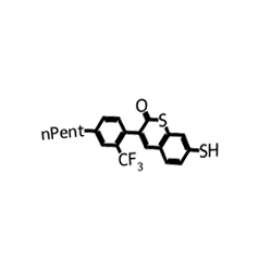 CCCCCc1ccc(-c2cc3ccc(S)cc3sc2=O)c(C(F)(F)F)c1